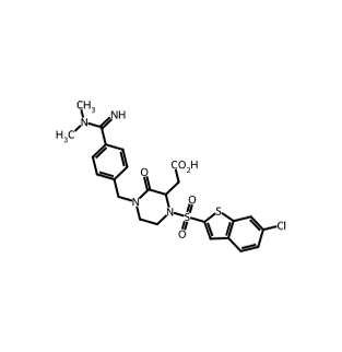 CN(C)C(=N)c1ccc(CN2CCN(S(=O)(=O)c3cc4ccc(Cl)cc4s3)C(CC(=O)O)C2=O)cc1